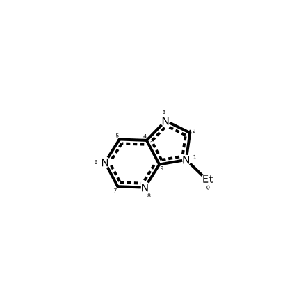 CCn1[c]nc2cncnc21